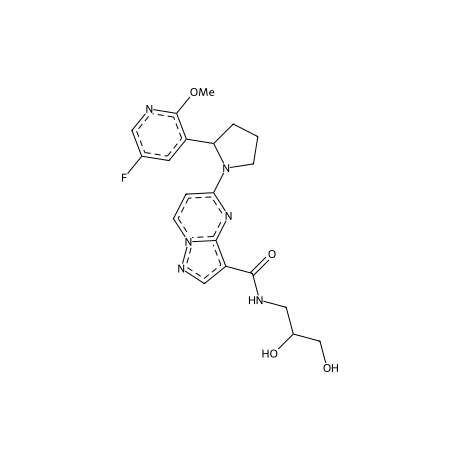 COc1ncc(F)cc1C1CCCN1c1ccn2ncc(C(=O)NCC(O)CO)c2n1